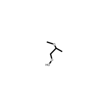 COC(C)COO